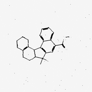 CC1(C)c2cc(C(=N)NN)c3ccccc3c2C2C3=C(CCCC3)CCC21